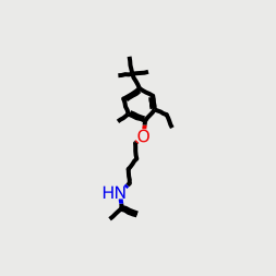 C=C(C)NCCCCOc1c(C)cc(C(C)(C)C)cc1CC